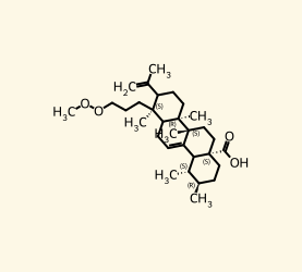 C=C(C)C1CC[C@]2(C)C(CC=C3C4[C@@H](C)[C@H](C)CC[C@]4(C(=O)O)CC[C@]32C)[C@@]1(C)CCCOOC